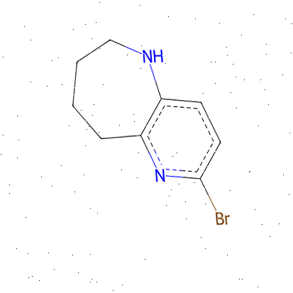 Brc1ccc2c(n1)CCCCN2